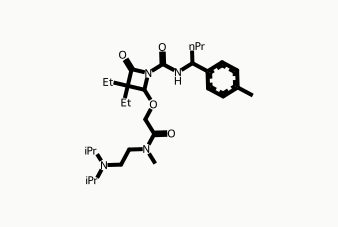 CCCC(NC(=O)N1C(=O)C(CC)(CC)C1OCC(=O)N(C)CCN(C(C)C)C(C)C)c1ccc(C)cc1